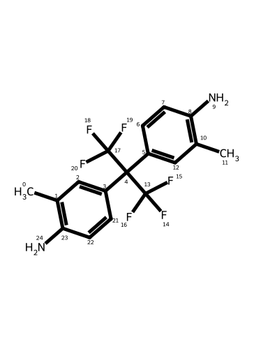 Cc1cc(C(c2ccc(N)c(C)c2)(C(F)(F)F)C(F)(F)F)ccc1N